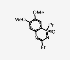 CCC1=Nc2cc(OC)c(OC)cc2S(=O)(C(C)C)=N1